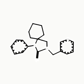 O=C1N(Cc2cccnc2)CC2(CCCCC2)N1c1ccccc1